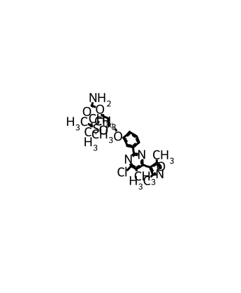 Cc1noc(C)c1-c1nc(-c2cccc(OC[C@@H](CCOC(N)=O)O[Si](C)(C)C(C)(C)C)c2)nc(Cl)c1C